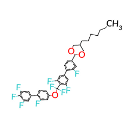 CCCCCCCC1COC(c2ccc(-c3cc(F)c(C(F)(F)Oc4ccc(-c5cc(F)c(F)c(F)c5)c(F)c4)c(F)c3)c(F)c2)OC1